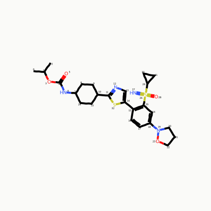 CC(C)OC(=O)NC1CCC(c2ncc(-c3ccc(N4CCCO4)cc3S(=N)(=O)C3CC3)s2)CC1